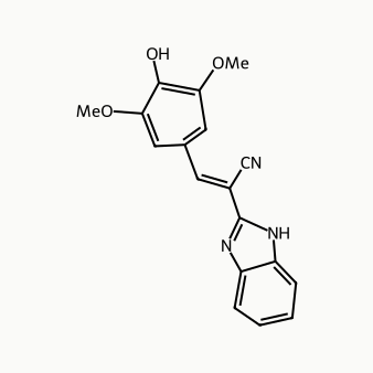 COc1cc(C=C(C#N)c2nc3ccccc3[nH]2)cc(OC)c1O